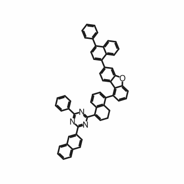 C1=C(c2nc(-c3ccccc3)nc(-c3ccc4ccccc4c3)n2)c2cccc(-c3cccc4oc5cc(-c6ccc(-c7ccccc7)c7ccccc67)ccc5c34)c2CC1